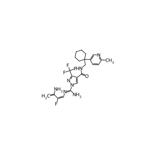 C=C(N)/C(F)=C\N=C(/N)n1cc(C(=O)NCC2(c3ccc(C)nc3)CCCCC2)c(C(F)(F)F)n1